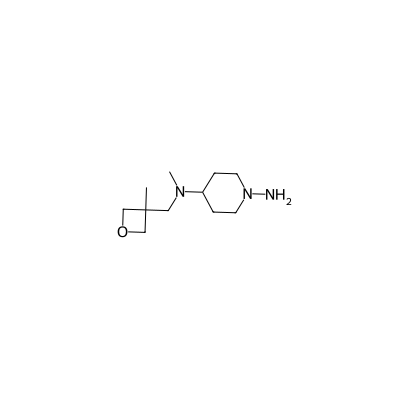 CN(CC1(C)COC1)C1CCN(N)CC1